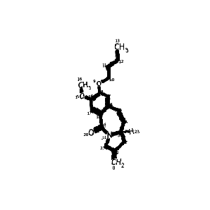 C=C1C[C@H]2C=Cc3cc(OCCCC)c(OC)cc3C(=O)N2C1